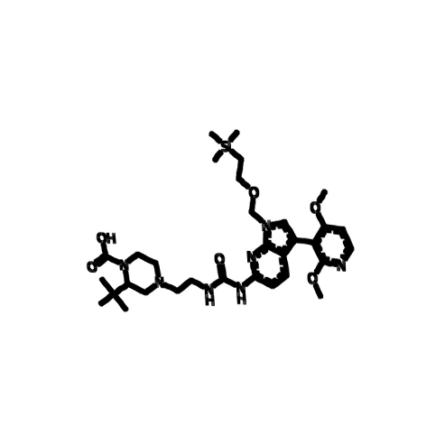 COc1ccnc(OC)c1-c1cn(COCC[Si](C)(C)C)c2nc(NC(=O)NCCN3CCN(C(=O)O)C(C(C)(C)C)C3)ccc12